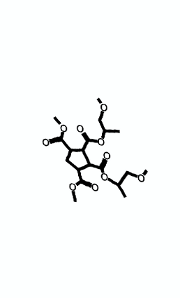 COCC(C)OC(=O)C1C(C(=O)OC)CC(C(=O)OC)C1C(=O)OC(C)COC